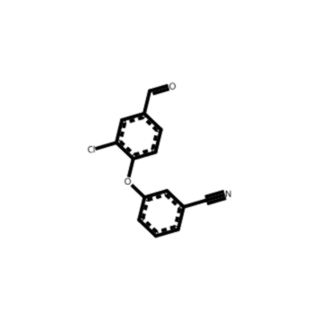 N#Cc1cccc(Oc2ccc(C=O)cc2Cl)c1